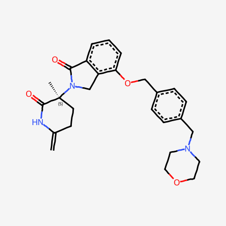 C=C1CC[C@](C)(N2Cc3c(OCc4ccc(CN5CCOCC5)cc4)cccc3C2=O)C(=O)N1